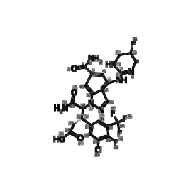 NC(=O)c1cc(NC2=NCC(F)CN2)c2cnn(C(C(N)=O)[C@@H](CC(=O)O)c3cc(Cl)c(F)c(C(F)(F)F)c3)c2c1